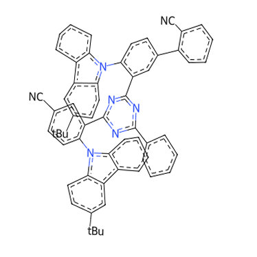 CC(C)(C)c1ccc2c(c1)c1ccccc1n2-c1ccc(C#N)cc1-c1nc(-c2ccccc2)nc(-c2cc(-c3ccccc3C#N)ccc2-n2c3ccccc3c3cc(C(C)(C)C)ccc32)n1